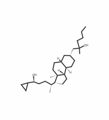 CCCCC(C)(O)C[C@@H]1CC[C@@H]2[C@H](CC[C@]3(C)[C@@H]([C@H](C)CC[C@H](O)C4CC4)CC[C@@H]23)C1